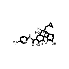 O=C(Nc1ccc([N+](=O)[O-])cn1)C1=C(O)[C@@H]2Oc3c(O)ccc4c3[C@@]23CCN(CC2CC2)[C@H](C4)[C@]3(O)C1